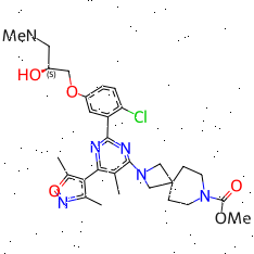 CNC[C@H](O)COc1ccc(Cl)c(-c2nc(-c3c(C)noc3C)c(C)c(N3CC4(CCN(C(=O)OC)CC4)C3)n2)c1